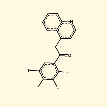 Cc1c(F)cc(C(=O)Cc2ccnc3ccccc23)c(F)c1F